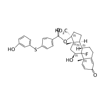 C[C@]12C=CC(=O)C=C1CC[C@H]1[C@@H]3CC[C@@](OC(=O)c4ccc(Sc5cccc(O)c5)cc4)(C(=O)O)[C@@]3(C)C[C@H](O)C12F